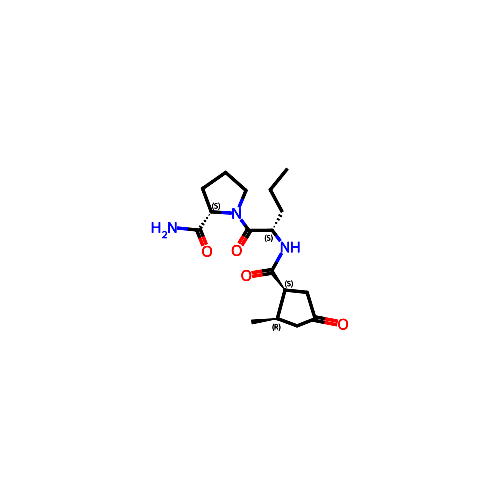 CCC[C@H](NC(=O)[C@H]1CC(=O)C[C@H]1C)C(=O)N1CCC[C@H]1C(N)=O